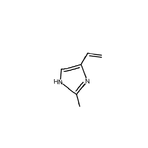 C=Cc1c[nH]c(C)n1